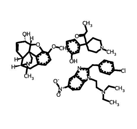 CCC(=O)C1(c2cccc(O)c2)CCN(C)CC1.CCN(CC)CCn1c(Cc2ccc(Cl)cc2)nc2cc([N+](=O)[O-])ccc21.COc1ccc2c3c1O[C@H]1[C@@H](O)C=C[C@H]4[C@@H](C2)N(C)CC[C@@]341